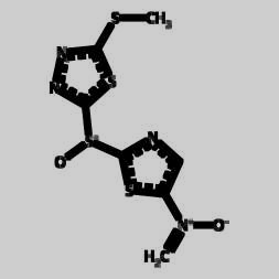 C=[N+]([O-])c1cnc([S+]([O-])c2nnc(SC)s2)s1